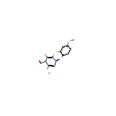 COC1=CC2=Nc3ccc(OC)cc3SC2=C(Br)C1C=O